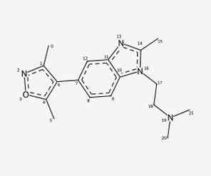 Cc1noc(C)c1-c1ccc2c(c1)nc(C)n2CCN(C)C